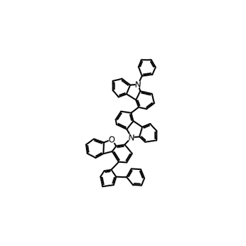 c1ccc(-c2ccccc2-c2ccc(-n3c4ccccc4c4c(-c5cccc6c5c5ccccc5n6-c5ccccc5)cccc43)c3oc4ccccc4c23)cc1